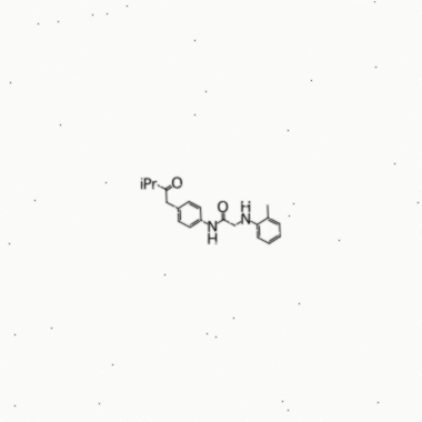 Cc1ccccc1NCC(=O)Nc1ccc(CC(=O)C(C)C)cc1